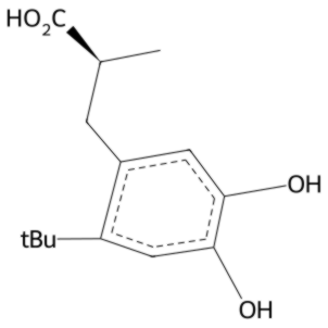 C[C@@H](Cc1cc(O)c(O)cc1C(C)(C)C)C(=O)O